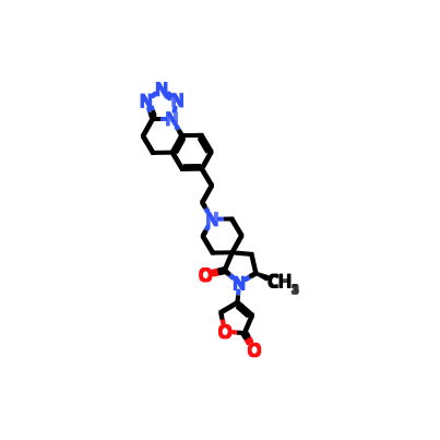 C[C@@H]1CC2(CCN(CCc3ccc4c(c3)CCc3nnnn3-4)CC2)C(=O)N1C1=CC(=O)OC1